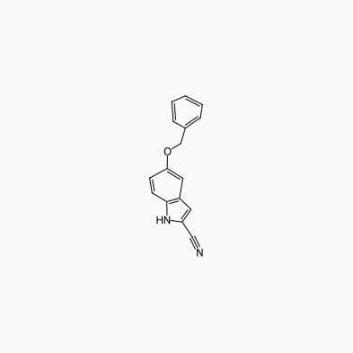 N#Cc1cc2cc(OCc3ccccc3)ccc2[nH]1